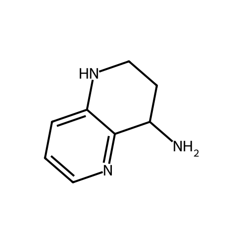 NC1CCNc2cccnc21